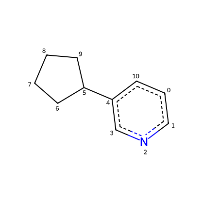 c1cncc(C2CCCC2)c1